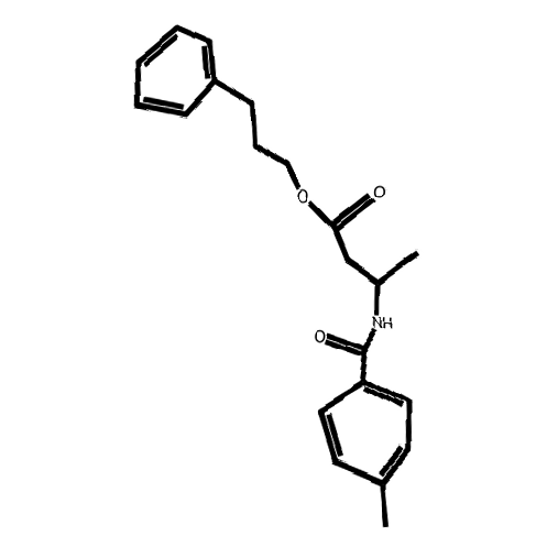 Cc1ccc(C(=O)NC(C)CC(=O)OCCCc2ccccc2)cc1